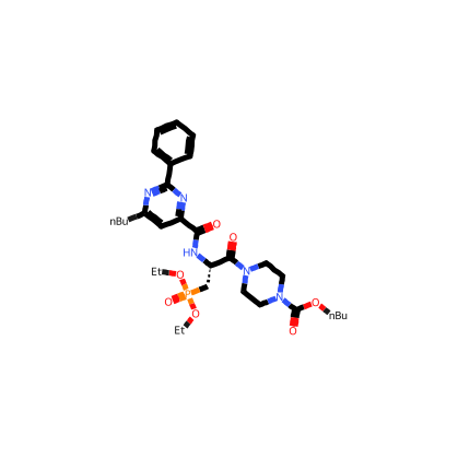 CCCCOC(=O)N1CCN(C(=O)[C@H](CP(=O)(OCC)OCC)NC(=O)c2cc(CCCC)nc(-c3ccccc3)n2)CC1